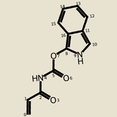 C=CC(=O)NC(=O)Oc1[nH]cc2ccccc12